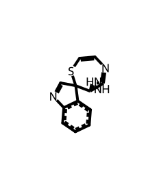 C1=CSC2(C=Nc3ccccc32)C2=CNNC2=N1